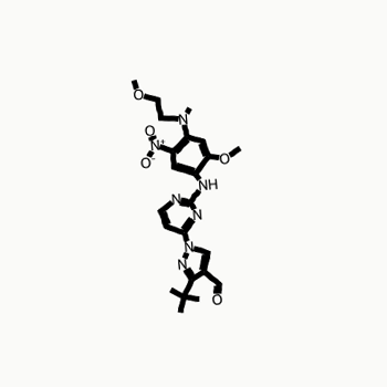 COCCN(C)c1cc(OC)c(Nc2nccc(-n3cc(C=O)c(C(C)(C)C)n3)n2)cc1[N+](=O)[O-]